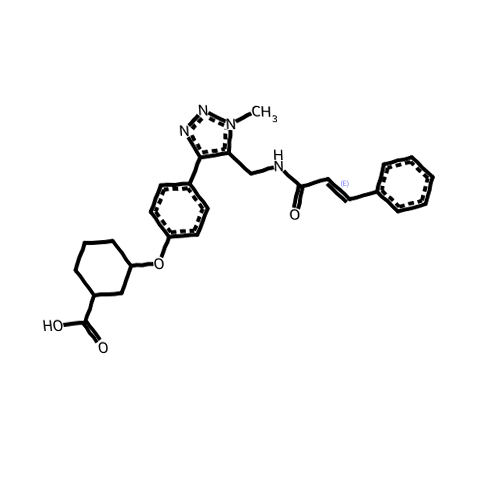 Cn1nnc(-c2ccc(OC3CCCC(C(=O)O)C3)cc2)c1CNC(=O)/C=C/c1ccccc1